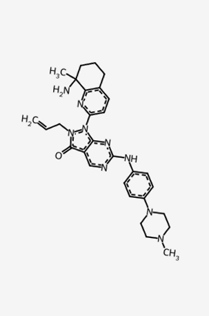 C=CCn1c(=O)c2cnc(Nc3ccc(N4CCN(C)CC4)cc3)nc2n1-c1ccc2c(n1)C(C)(N)CCC2